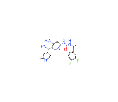 Cc1cc(C(=N)c2cnc(NC(=O)NC(C)c3ccc(F)c(F)c3)cc2N)ccn1